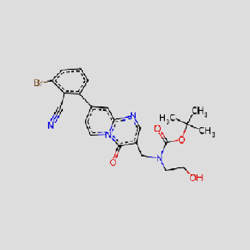 CC(C)(C)OC(=O)N(CCO)Cc1cnc2cc(-c3cccc(Br)c3C#N)ccn2c1=O